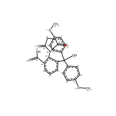 COc1ccc(C(O)(c2ccc(OC)cc2)c2cccc(C(=O)O)c2N2C(=O)CCC2=O)cc1